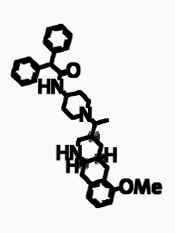 COc1cccc2c1C[C@H]1C[C@H](C(C)N3CCC(NC(=O)C(c4ccccc4)c4ccccc4)CC3)CN[C@@H]1C2